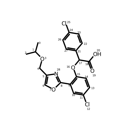 CC(C)OCc1coc(-c2cc(Cl)ccc2OC(C(=O)O)c2ccc(Cl)cc2)n1